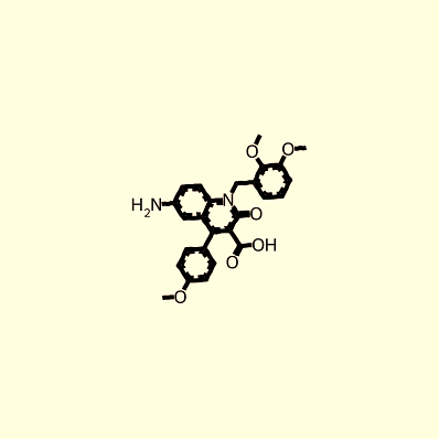 COc1ccc(-c2c(C(=O)O)c(=O)n(Cc3cccc(OC)c3OC)c3ccc(N)cc23)cc1